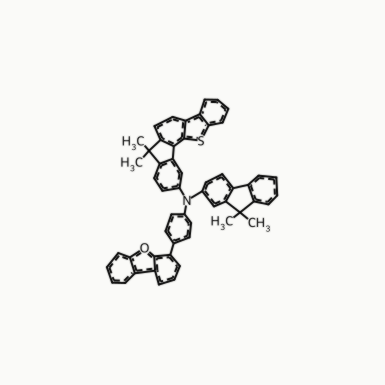 CC1(C)c2ccccc2-c2ccc(N(c3ccc(-c4cccc5c4oc4ccccc45)cc3)c3ccc4c(c3)-c3c(ccc5c3sc3ccccc35)C4(C)C)cc21